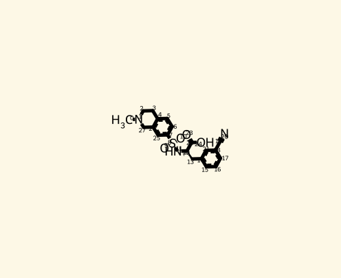 CN1CCc2ccc(S(=O)(=O)N[C@H](Cc3cccc(C#N)c3)C(=O)O)cc2C1